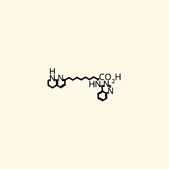 O=C(O)C(CCCCCCCc1ccc2c(n1)NCCC2)Nc1ncnc2ccccc12